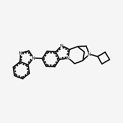 c1ccc2c(c1)ncn2-c1ccc2c(c1)nc1n2CC2CC1CN2C1CCC1